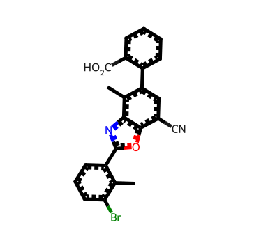 Cc1c(Br)cccc1-c1nc2c(C)c(-c3ccccc3C(=O)O)cc(C#N)c2o1